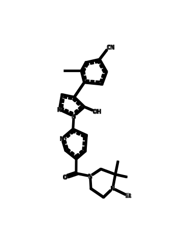 CCN1CCN(C(=O)c2ccc(-n3ncc(-c4ccc(C#N)cc4C)c3O)nc2)CC1(C)C